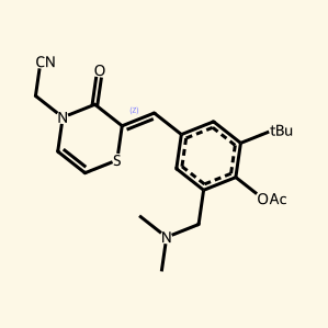 CC(=O)Oc1c(CN(C)C)cc(/C=C2\SC=CN(CC#N)C2=O)cc1C(C)(C)C